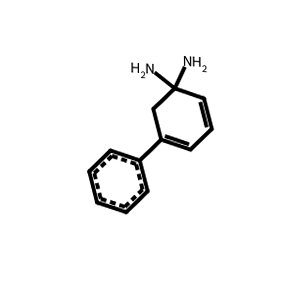 NC1(N)C=CC=C(c2ccccc2)C1